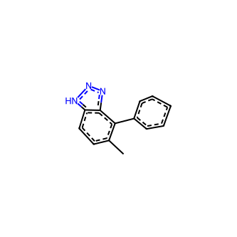 Cc1ccc2[nH]nnc2c1-c1ccccc1